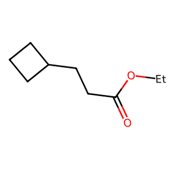 CCOC(=O)CCC1CCC1